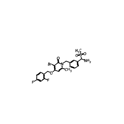 Cc1cc(OCc2ccc(F)cc2F)c(Br)c(=O)n1Cc1cccc(C(N)S(C)(=O)=O)c1